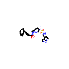 O=C(C#Cc1ccccc1)N1CCC(NS(=O)(=O)NCc2ccnc3[nH]ccc23)C1